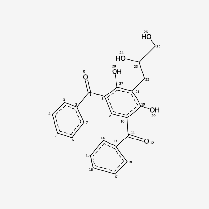 O=C(c1ccccc1)c1cc(C(=O)c2ccccc2)c(O)c(CC(O)CO)c1O